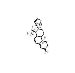 CC[C@]12CCC3C(C=CC4=CC(=O)CC[C@@H]43)C1CC[C@@]21C=CCO1